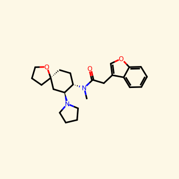 CN(C(=O)Cc1coc2ccccc12)[C@H]1CC[C@@]2(CCCO2)C[C@@H]1N1CCCC1